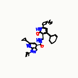 Cc1cc(C2CCCCC2)c(CNC(=O)c2cc(C3CC3)nc3c2cnn3C(C)C)c(=O)[nH]1